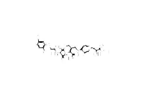 O=C(CSc1cc(Cl)ccc1Cl)N[C@H]1C(=O)N2C(C(=O)O)=C(CSc3cc[n+](CC(O)C(=O)O)cc3)CS[C@H]12